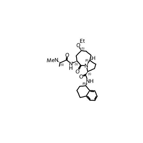 CCO[C@H]1CC[C@H]2CC[C@@H](C(=O)N[C@@H]3CCCc4ccccc43)N2C(=O)[C@@H](NC(=O)[C@H](C)NC)C1